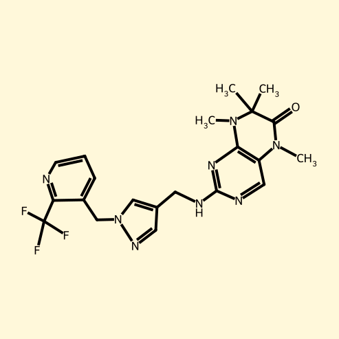 CN1C(=O)C(C)(C)N(C)c2nc(NCc3cnn(Cc4cccnc4C(F)(F)F)c3)ncc21